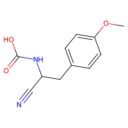 COc1ccc(CC(C#N)NC(=O)O)cc1